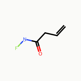 C=CCC(=O)[N]F